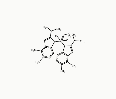 C[CH]=[Zr]([Cl])([Cl])([CH]1C(C(C)C)=Cc2c1ccc(C)c2C)[CH]1C(C(C)C)=Cc2c1ccc(C)c2C